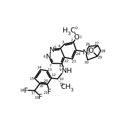 COc1cc2nncc(N[C@H](C)c3cccc(C(F)F)c3F)c2cc1N1CC2CC(C1)O2